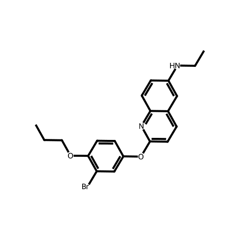 CCCOc1ccc(Oc2ccc3cc(NCC)ccc3n2)cc1Br